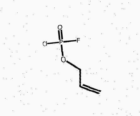 C=CCOP(=O)(F)Cl